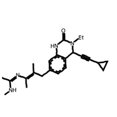 CCN1C(=O)Nc2cc(C/C(C)=C(C)/N=C(/C)NC=O)ccc2C1C#CC1CC1